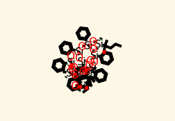 CCCC(C)(C)[Si](C)(C)O[Si]1(c2ccccc2)O[Si]2(c3ccccc3)O[Si]3(c4ccccc4)O[Si](O[Si](C)(C)C)(c4ccccc4)O[Si]4(c5ccccc5)O[Si](c5ccccc5)(O1)O[Si](c1ccccc1)(O2)O[Si](C)(C)C(C)(C)C(C)(CC)[Si](C)(C)O[Si](c1ccccc1)(O3)O4